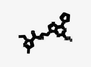 CCn1nc(C)cc1C(=O)NCCn1cnc2c(-n3cccc3)nc(N)nc21